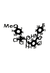 COc1ccc([C@@H]2[C@@H](C(=O)Nc3ccc(Cl)c(C(=O)Nc4ccc(F)cc4)c3)C2(Cl)Cl)cc1